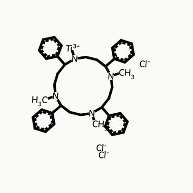 CN1CCC(c2ccccc2)N(C)CCC(c2ccccc2)[N]([Ti+3])CCC(c2ccccc2)N(C)CCC1c1ccccc1.[Cl-].[Cl-].[Cl-]